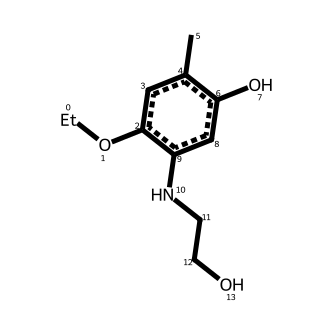 CCOc1cc(C)c(O)cc1NCCO